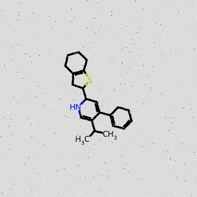 CC(C)C1=CNC(C2CC3=C(CCCC3)S2)C=C1C1=CC=CCC1